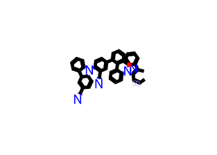 C/C=C\c1c(C)c2ccccc2n1-c1ccccc1-c1c(C#N)cccc1-c1ccc(N2c3ccccc3C3C=C(C#N)C=CC32)c(C#N)c1